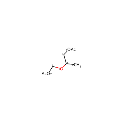 CC(=O)OCOC(C)COC(C)=O